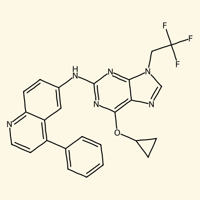 FC(F)(F)Cn1cnc2c(OC3CC3)nc(Nc3ccc4nccc(-c5ccccc5)c4c3)nc21